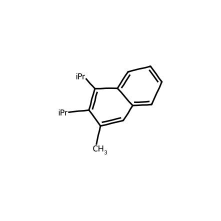 Cc1cc2ccccc2c(C(C)C)c1C(C)C